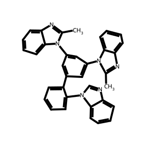 Cc1nc2ccccc2n1-c1cc(-c2ccccc2-n2cnc3ccccc32)cc(-n2c(C)nc3ccccc32)c1